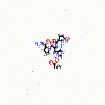 CCCC(=O)OCn1cncc1C[C@H](NC(=O)C1CCC(=O)N1)C(=O)N1CCCC1C(N)=O